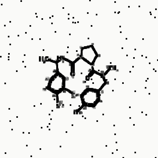 CC(NC(=O)N1CCC[C@@H]1C(=O)N(C)Cc1ccc(Cl)cc1)c1ccc(C(F)(F)F)c(F)c1